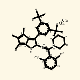 CC1=C(C)C2=C(c3cc(C(C)(C)C)cc(C(C)(C)C)c3)[CH]([Ti+2]=[C](c3c(F)cccc3F)N3CCCCC3)SC2=C1C.[Cl-].[Cl-]